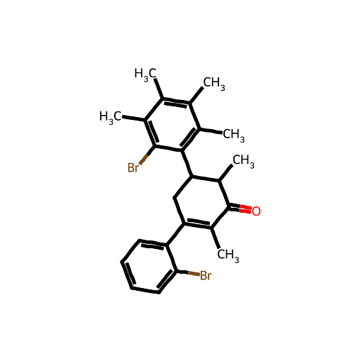 CC1=C(c2ccccc2Br)CC(c2c(C)c(C)c(C)c(C)c2Br)C(C)C1=O